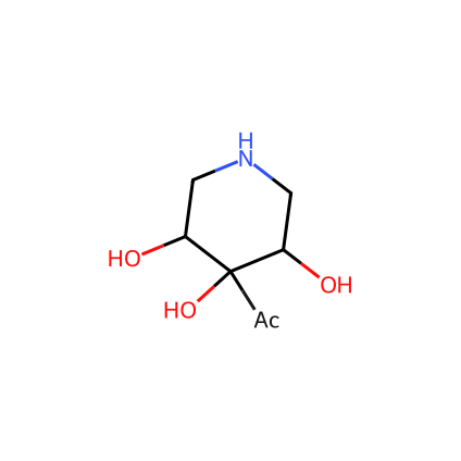 CC(=O)C1(O)C(O)CNCC1O